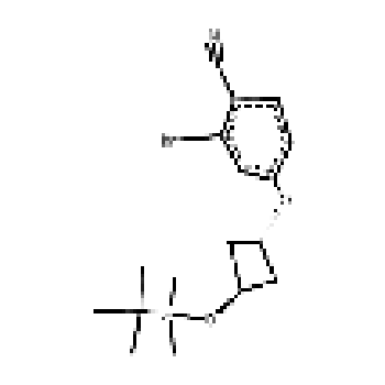 CC(C)(C)[Si](C)(C)O[C@H]1C[C@H](Oc2ccc(C#N)c(Br)c2)C1